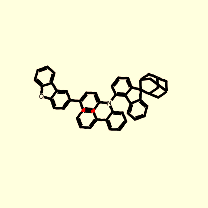 c1ccc(-c2ccccc2N(c2ccc(-c3ccc4oc5ccccc5c4c3)cc2)c2cccc3c2-c2ccccc2C32C3CC4CC(C3)CC2C4)cc1